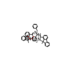 C=C(/C=C\c1c(C)c2ccccc2n1C)c1ccccc1Nc1cccc(C(=N/Cc2ccccc2)/N=C(\N)c2cccc3c2C(C)(C)c2ccccc2-3)c1